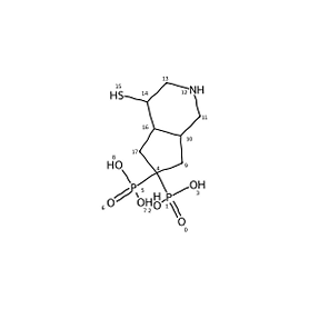 O=P(O)(O)C1(P(=O)(O)O)CC2CNCC(S)C2C1